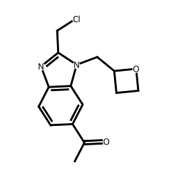 CC(=O)c1ccc2nc(CCl)n(CC3CCO3)c2c1